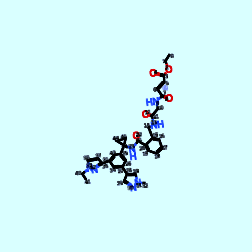 CCOC(=O)/C=C/C(=O)NCC(=O)NCc1ccccc1C(=O)NC1(c2cc(-c3cnn(C)c3)cc(-c3ccn(CC)n3)c2)CC1